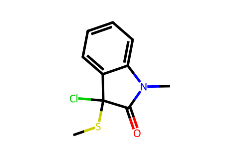 CSC1(Cl)C(=O)N(C)c2ccccc21